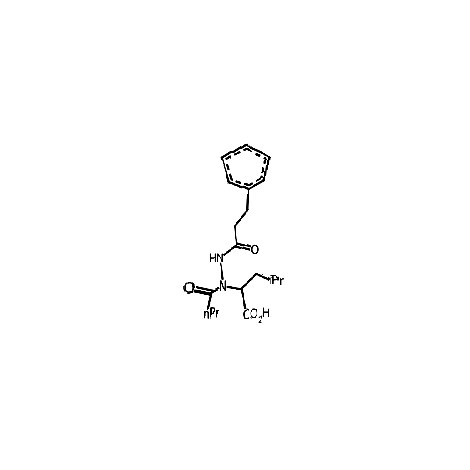 CCCC(=O)N(NC(=O)CCc1ccccc1)C(CC(C)C)C(=O)O